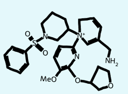 COc1ccc([N+]2(C3CCCN(S(=O)(=O)c4ccccc4)C3)C=C(CN)C=CC2)nc1OC1CCOC1